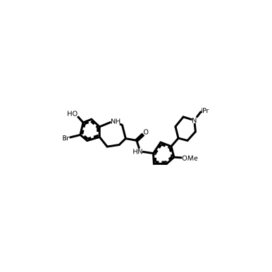 COc1ccc(NC(=O)C2CCc3cc(Br)c(O)cc3NC2)cc1C1CCN(C(C)C)CC1